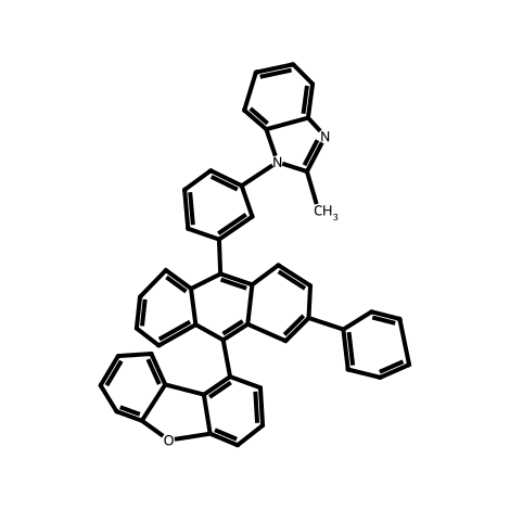 Cc1nc2ccccc2n1-c1cccc(-c2c3ccccc3c(-c3cccc4oc5ccccc5c34)c3cc(-c4ccccc4)ccc23)c1